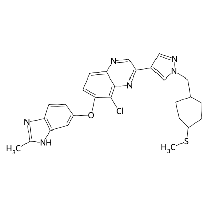 CSC1CCC(Cn2cc(-c3cnc4ccc(Oc5ccc6nc(C)[nH]c6c5)c(Cl)c4n3)cn2)CC1